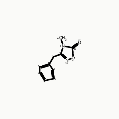 Cn1c(Cc2ccccc2)noc1=O